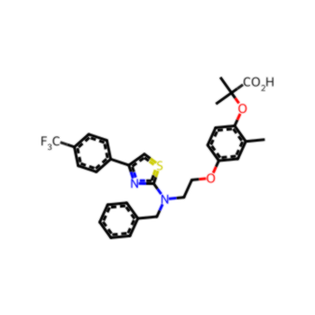 Cc1cc(OCCN(Cc2ccccc2)c2nc(-c3ccc(C(F)(F)F)cc3)cs2)ccc1OC(C)(C)C(=O)O